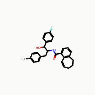 O=C(NC(Cc1ccc(C(F)(F)F)cc1)C(O)c1ccc(F)cc1)c1cccc2c1C=CCCC2